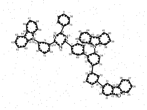 c1ccc(-c2nc(-c3ccc(-c4cc(-c5cccc(-c6ccc7oc8ccccc8c7c6)c5)ccc4-n4c5ccccc5c5ccccc54)cc3)nc(-c3cccc(-n4c5ccccc5c5ccccc54)c3)n2)cc1